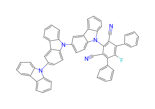 N#Cc1c(-c2ccccc2)c(F)c(-c2ccccc2)c(C#N)c1-n1c2ccccc2c2cc(-n3c4ccccc4c4cc(-n5c6ccccc6c6ccccc65)ccc43)ccc21